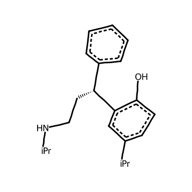 CC(C)NCC[C@H](c1ccccc1)c1cc(C(C)C)ccc1O